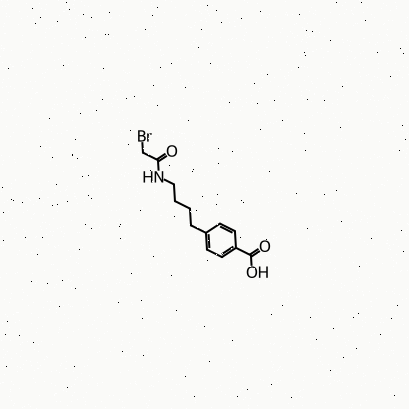 O=C(CBr)NCCCCc1ccc(C(=O)O)cc1